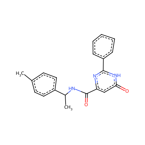 Cc1ccc(C(C)NC(=O)c2cc(=O)[nH]c(-c3ccccc3)n2)cc1